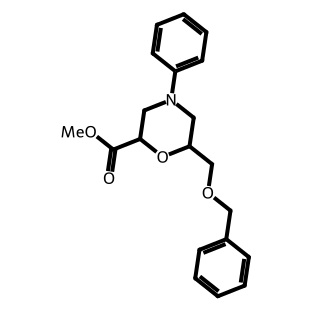 COC(=O)C1CN(c2ccccc2)CC(COCc2ccccc2)O1